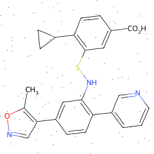 Cc1oncc1-c1ccc(-c2cccnc2)c(NSc2cc(C(=O)O)ccc2C2CC2)c1